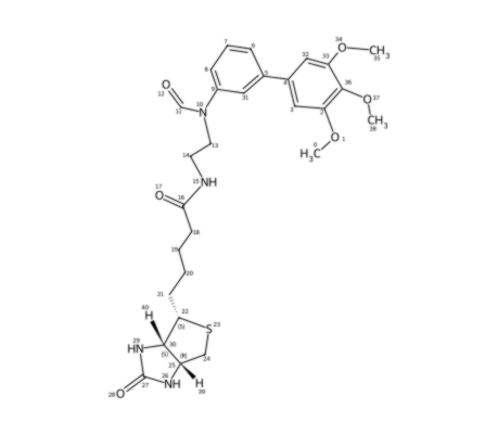 COc1cc(-c2cccc(N(C=O)CCNC(=O)CCCC[C@@H]3SC[C@@H]4NC(=O)N[C@@H]43)c2)cc(OC)c1OC